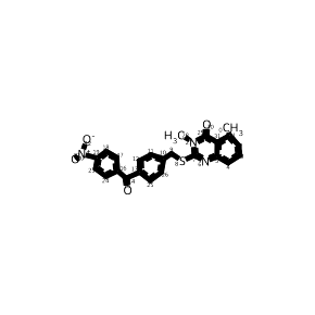 Cc1cccc2nc(SCc3ccc(C(=O)c4ccc([N+](=O)[O-])cc4)cc3)n(C)c(=O)c12